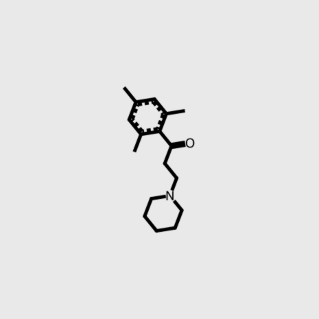 Cc1cc(C)c(C(=O)CCN2CCCCC2)c(C)c1